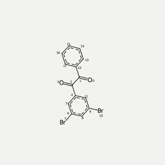 O=C(C(=O)c1cc(Br)cc(Br)c1)c1ccccc1